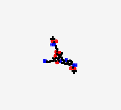 CCC1(OC(=O)CCCNC(=O)OC(C)(C)C)C(=O)OC([Si](C)(C)CCCC#N)c2c1cc1n(c2=O)Cc2cc3cc(NC(=O)OC(C)(C)C)ccc3nc2-1